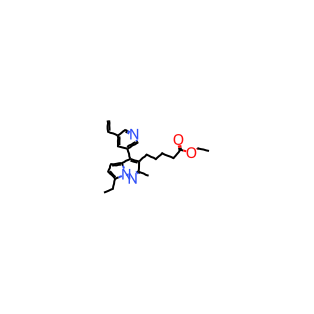 C=Cc1cncc(-c2c(CCCCC(=O)OCC)c(C)nn3c(CC)ccc23)c1